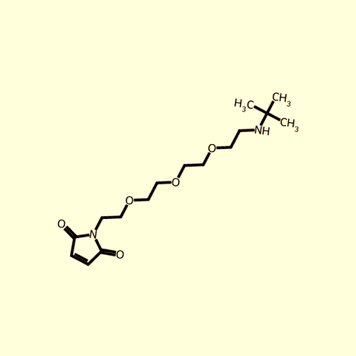 CC(C)(C)NCCOCCOCCOCCN1C(=O)C=CC1=O